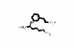 NCCCCC(N)C(=O)O.O=C(O)C=Cc1ccccc1